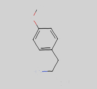 CCCOc1ccc(C[C@@H](N)C(=O)O)cc1